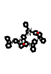 c1ccc(-c2cc(-c3ccc(-n4c5ccccc5c5cc(-n6c7ccccc7c7ccccc76)ccc54)c(-c4cccc(-n5c6ccccc6c6cc(-n7c8ccccc8c8ccccc87)ccc65)c4)c3)nc(-c3ccccc3)n2)cc1